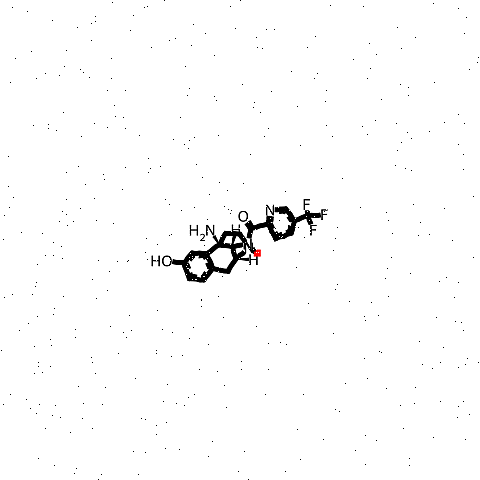 CN1CC[C@@]2(N)c3cc(O)ccc3C[C@@H]1[C@H]2N(C)C(=O)c1ccc(C(F)(F)F)cn1